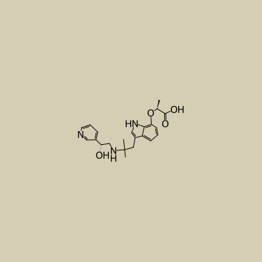 C[C@H](Oc1cccc2c(CC(C)(C)NC[C@H](O)c3cccnc3)c[nH]c12)C(=O)O